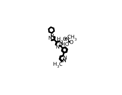 CN(C)C(=O)O.Cc1ccc(-c2cccc(-c3ncc(-c4cnn(C5CCCCC5)c4)cn3)c2)nn1